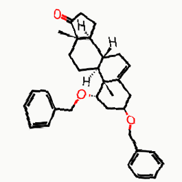 C[C@]12C(=CC[C@@H]3[C@@H]1CC[C@]1(C)C(=O)CC[C@@H]31)C[C@@H](OCc1ccccc1)C[C@@H]2OCc1ccccc1